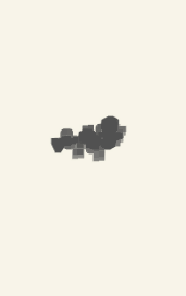 Cc1ccccc1-c1nc(NS(=O)(=O)c2cccc(NCOC(=O)C3CC3)n2)ccc1C(F)(F)F